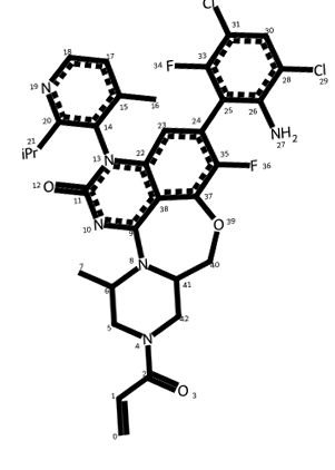 C=CC(=O)N1CC(C)N2c3nc(=O)n(-c4c(C)ccnc4C(C)C)c4cc(-c5c(N)c(Cl)cc(Cl)c5F)c(F)c(c34)OCC2C1